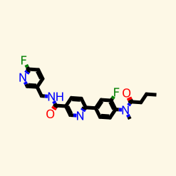 CCCC(=O)N(C)c1ccc(-c2ccc(C(=O)NCc3ccc(F)nc3)cn2)cc1F